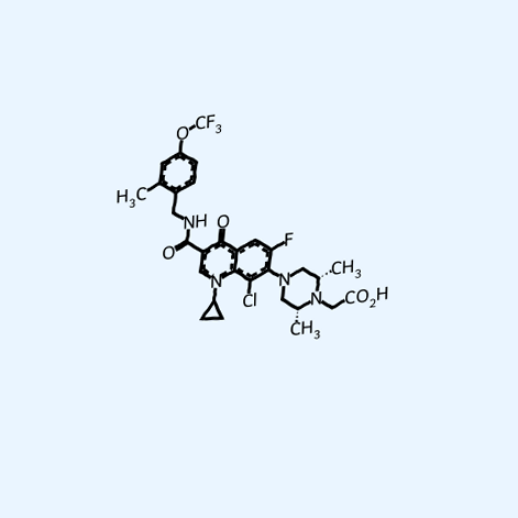 Cc1cc(OC(F)(F)F)ccc1CNC(=O)c1cn(C2CC2)c2c(Cl)c(N3C[C@@H](C)N(CC(=O)O)[C@@H](C)C3)c(F)cc2c1=O